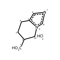 Cl.O=C(O)C1CCc2cncn2C1